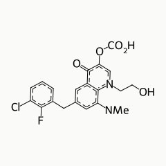 CNc1cc(Cc2cccc(Cl)c2F)cc2c(=O)c(OC(=O)O)cn(CCO)c12